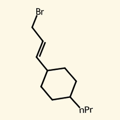 CCCC1CCC(C=CCBr)CC1